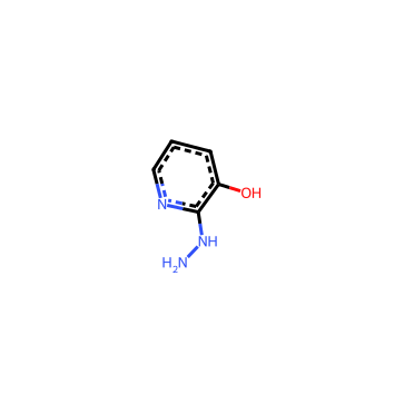 NNc1ncccc1O